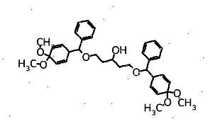 COC1(OC)C=CC(C(OCCC(O)CCOC(c2ccccc2)C2C=CC(OC)(OC)C=C2)c2ccccc2)C=C1